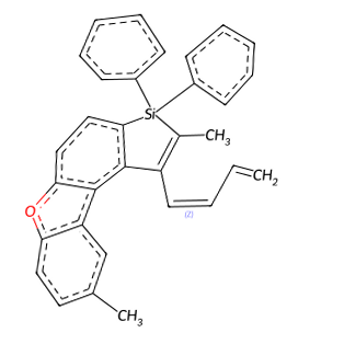 C=C/C=C\C1=C(C)[Si](c2ccccc2)(c2ccccc2)c2ccc3oc4ccc(C)cc4c3c21